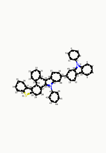 c1ccc(-n2c3ccccc3c3ccc(-c4ccc5c6c7ccccc7c7c(ccc8sc9ccccc9c87)c6n(-c6ccccc6)c5c4)cc32)cc1